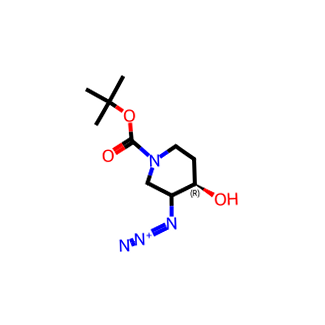 CC(C)(C)OC(=O)N1CC[C@@H](O)C(N=[N+]=[N-])C1